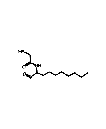 CCCCCCCCC([C]=O)NC(=O)CS